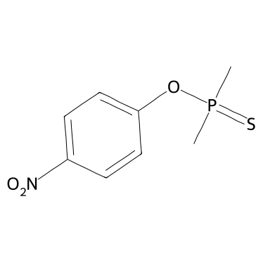 CP(C)(=S)Oc1ccc([N+](=O)[O-])cc1